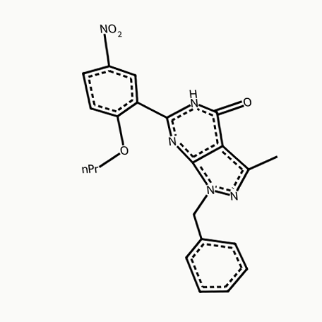 CCCOc1ccc([N+](=O)[O-])cc1-c1nc2c(c(C)nn2Cc2ccccc2)c(=O)[nH]1